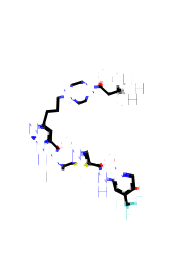 CC(NC(=O)c1cc(CCCN2CCN(C(=O)CC(C)(C)C)CC2)ncn1)c1ncc(C(=O)Nc2cc(C(F)(F)F)c(O)cn2)s1